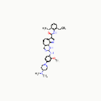 CCc1cccc(CC)c1NC(=O)C1=CN=C2C1=CC=CC1C=NC(Nc3ccc(N4CCC(N(C)C)CC4)cc3OC)NC21